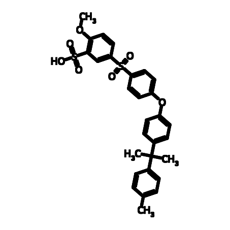 COc1ccc(S(=O)(=O)c2ccc(Oc3ccc(C(C)(C)c4ccc(C)cc4)cc3)cc2)cc1S(=O)(=O)O